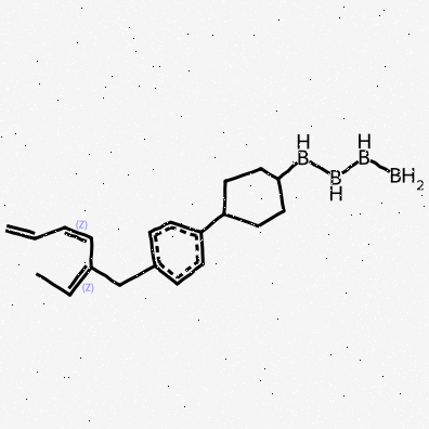 BBBBC1CCC(c2ccc(CC(/C=C\C=C)=C/C)cc2)CC1